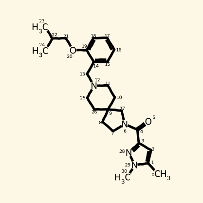 Cc1cc(C(=O)N2CCC3(CCN(Cc4ccccc4OCC(C)C)CC3)C2)nn1C